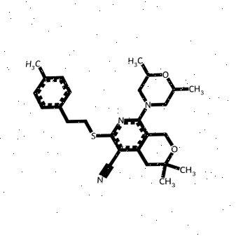 Cc1ccc(CCSc2nc(N3CC(C)OC(C)C3)c3c(c2C#N)CC(C)(C)OC3)cc1